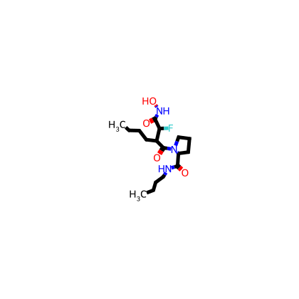 CCCCNC(=O)C1CCCN1C(=O)C(CCCC)C(F)C(=O)NO